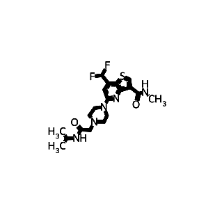 CNC(=O)c1csc2c(C(F)F)cc(N3CCN(CC(=O)NC(C)C)CC3)nc12